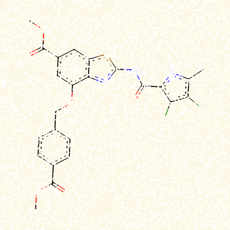 COC(=O)c1ccc(COc2cc(C(=O)OC)cc3sc(NC(=O)c4[nH]c(C)c(Cl)c4Cl)nc23)cc1